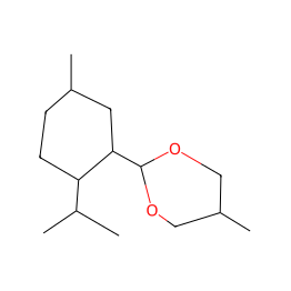 CC1COC(C2CC(C)CCC2C(C)C)OC1